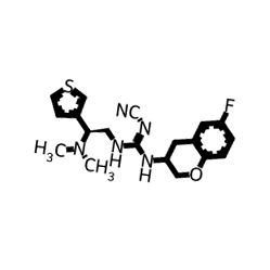 CN(C)[C@H](CNC(=NC#N)NC1COc2ccc(F)cc2C1)c1ccsc1